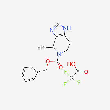 CCCC1c2nc[nH]c2CCN1C(=O)OCc1ccccc1.O=C(O)C(F)(F)F